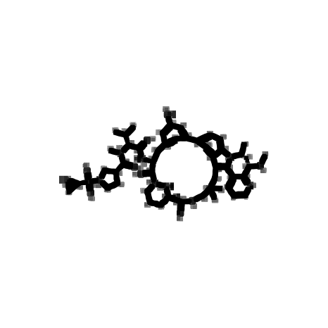 CCn1c(-c2cccnc2[C@H](C)OC)c2c3cc(ccc31)-c1cc(O)cc(c1)C[C@H](NC(=O)[C@H](C(C)C)N(C)C(=O)[C@H]1CCN(S(=O)(=O)[C@H]3CN3)C1)C(=O)N1CCC[C@H](N1)C(=O)OCC(C)(C)C2